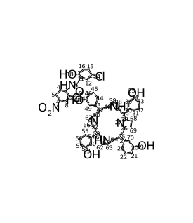 O=C(Nc1ccc([N+](=O)[O-])cc1Cl)c1cc(Cl)ccc1O.Oc1cccc(-c2c3nc(c(-c4cccc(O)c4)c4ccc([nH]4)c(-c4cccc(O)c4)c4nc(c(-c5cccc(O)c5)c5ccc2[nH]5)CC4)C=C3)c1